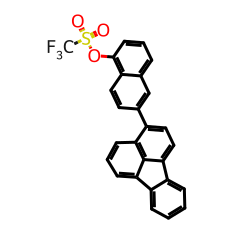 O=S(=O)(Oc1cccc2cc(-c3ccc4c5c(cccc35)-c3ccccc3-4)ccc12)C(F)(F)F